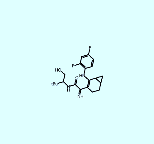 CC(C)(C)C(CO)NC(=O)C(=N)C1=C(Nc2ccc(F)cc2F)C2CC2CC1